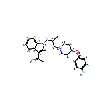 CC(=O)c1cn(CC(C)CN2CCC(Oc3ccc(F)cc3)CC2)c2ccccc12